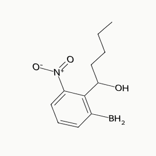 Bc1cccc([N+](=O)[O-])c1C(O)CCCC